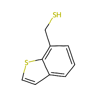 SCc1cccc2ccsc12